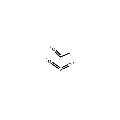 CC=O.O=S=O